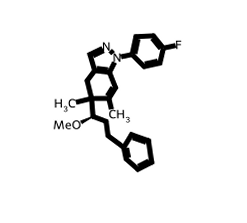 CO[C@H](CCc1ccccc1)C1(C)Cc2cnn(-c3ccc(F)cc3)c2C=C1C